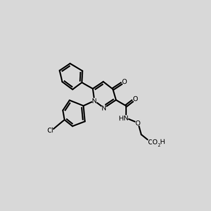 O=C(O)CONC(=O)c1nn(-c2ccc(Cl)cc2)c(-c2ccccc2)cc1=O